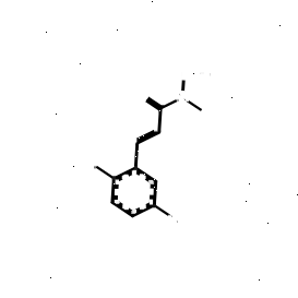 CCCCCCN(C)C(=O)C=Cc1cc([N+](=O)[O-])ccc1Cl